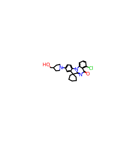 O=c1nc2n(c3cccc(Cl)c13)-c1ccc(N3CCC(CO)CC3)cc1C21CCCCC1